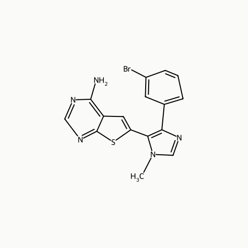 Cn1cnc(-c2cccc(Br)c2)c1-c1cc2c(N)ncnc2s1